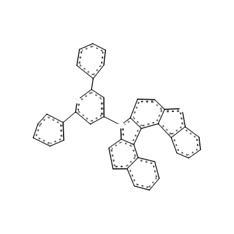 c1ccc(-c2cc(-n3c4ccc5ccccc5c4c4c5c(ccc43)sc3ccccc35)cc(-c3ccccc3)n2)cc1